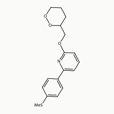 CSc1ccc(-c2cccc(OCC3CCCOO3)n2)cc1